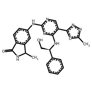 Cc1nnc(-c2cnc(Nc3ccc4c(c3)C(C)NC4=O)nc2N[C@H](CO)c2ccccc2)o1